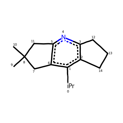 CC(C)c1c2c(nc3c1CC(C)(C)C3)CCC2